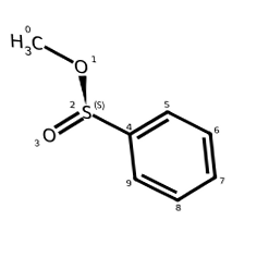 CO[S@](=O)c1ccccc1